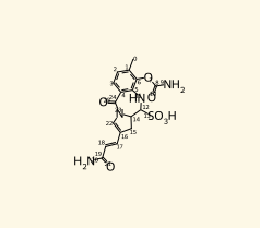 Cc1ccc2c(c1OC(N)=O)NC(S(=O)(=O)O)C1CC(C=CC(N)=O)=CN1C2=O